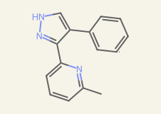 Cc1cccc(-c2n[nH]cc2-c2c[c]ccc2)n1